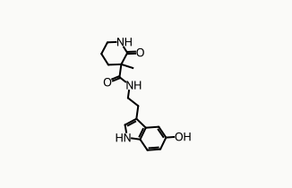 CC1(C(=O)NCCc2c[nH]c3ccc(O)cc23)CCCNC1=O